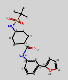 CC(C)(C)S(=O)(=O)N[C@H]1CC[C@H](C(=O)Nc2cccc(-c3ccco3)c2)CC1